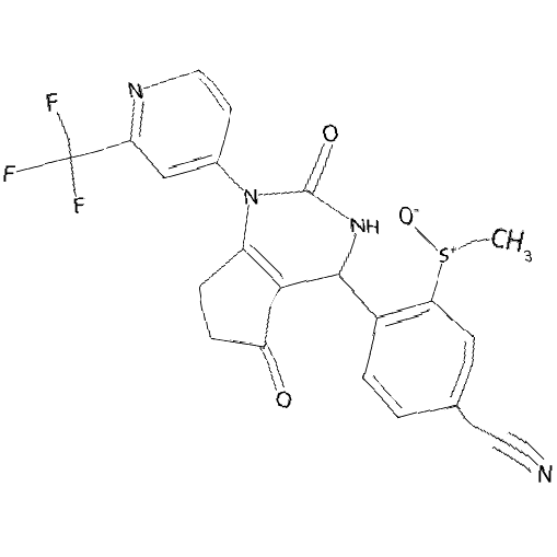 C[S+]([O-])c1cc(C#N)ccc1C1NC(=O)N(c2ccnc(C(F)(F)F)c2)C2=C1C(=O)CC2